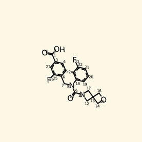 O=C(O)c1ccc(CN(C(=O)N2CC3(COC3)C2)c2cccc(F)c2)c(F)c1